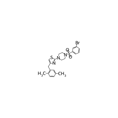 Cc1ccc(C)c(Cc2csc(N3CCN(S(=O)(=O)c4cccc(Br)c4)CC3)n2)c1